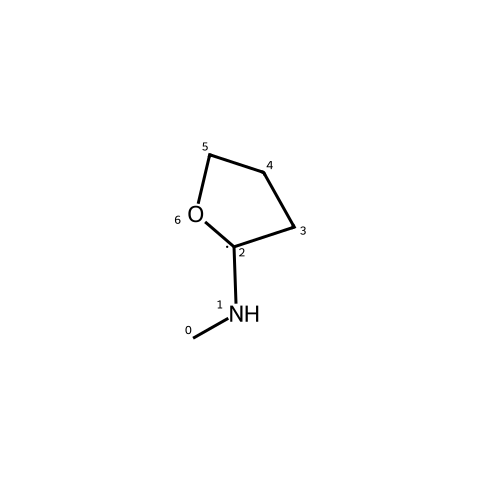 CN[C]1CCCO1